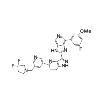 COc1cc(F)cc(-c2cncc3[nH]c(-c4n[nH]c5ccc(-c6cncc(CN7CCC(F)(F)C7)c6)nc45)nc23)c1